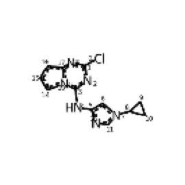 Clc1nc(Nc2cn(C3CC3)cn2)n2cccc2n1